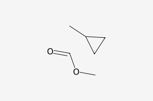 CC1CC1.COC=O